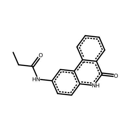 CCC(=O)Nc1ccc2[nH]c(=O)c3ccccc3c2c1